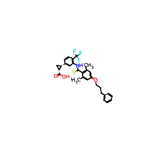 Cc1cc(OCCCc2ccccc2)cc(C)c1C(=S)Nc1cc([C@H]2C[C@H]2C(=O)O)ccc1C(F)(F)F